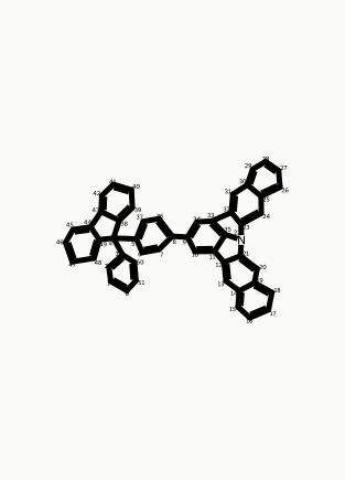 c1ccc(C2(c3ccc(-c4cc5c6cc7ccccc7cc6n6c7cc8ccccc8cc7c(c4)c56)cc3)c3ccccc3-c3ccccc32)cc1